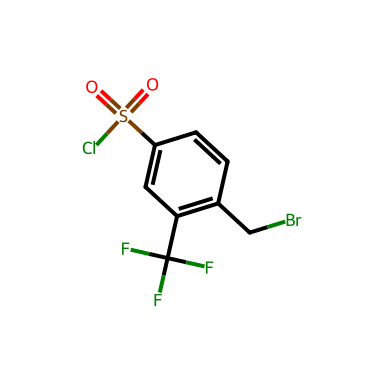 O=S(=O)(Cl)c1ccc(CBr)c(C(F)(F)F)c1